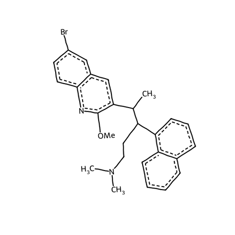 COc1nc2ccc(Br)cc2cc1C(C)C(CCN(C)C)c1cccc2ccccc12